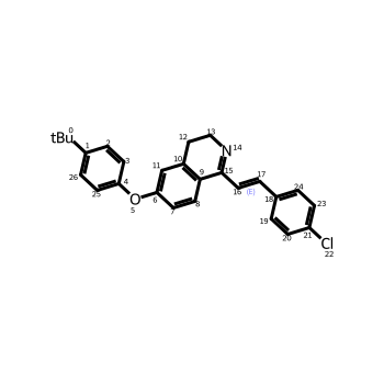 CC(C)(C)c1ccc(Oc2ccc3c(c2)CCN=C3/C=C/c2ccc(Cl)cc2)cc1